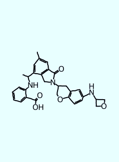 Cc1cc2c(c(C(C)Nc3ccccc3C(=O)O)c1)CN(C1COc3ccc(NC4COC4)cc3C1)C2=O